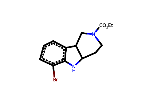 CCOC(=O)N1CCC2Nc3c(Br)cccc3C2C1